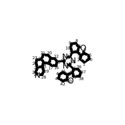 c1ccc2c(c1)oc1cccc(-c3nc(-c4ccc5c(ccc6ccc7cnccc7c65)c4)nc(-c4cccc5oc6ccccc6c45)n3)c12